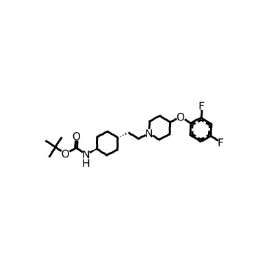 CC(C)(C)OC(=O)N[C@H]1CC[C@H](CCN2CCC(Oc3ccc(F)cc3F)CC2)CC1